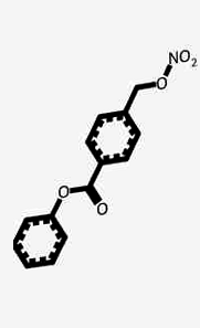 O=C(Oc1ccccc1)c1ccc(CO[N+](=O)[O-])cc1